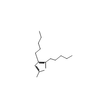 CCCCCc1cc([SiH3])sc1CCCCC